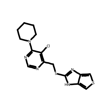 Clc1c(CSc2nc3cscc3[nH]2)ncnc1N1CCCCC1